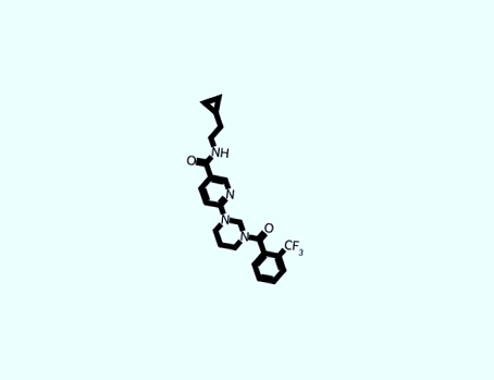 O=C(NCCC1CC1)c1ccc(N2CCCN(C(=O)c3ccccc3C(F)(F)F)C2)nc1